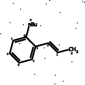 CC=Cc1ccccc1CCCC